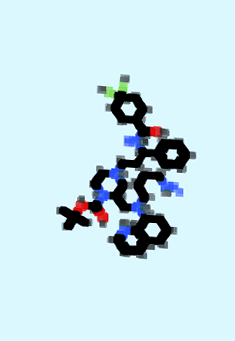 CC(C)(C)OC(=O)N1CCN(CC[C@@H](NC(=O)C2CCC(F)(F)CC2)c2ccccc2)CC1CN(CCCCN)[C@H]1CCCc2cccnc21